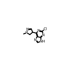 CN1CC(c2nc(Cl)nc3[nH]cnc23)C=N1